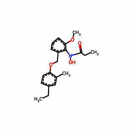 CCC(=O)N(O)c1c(COc2ccc(CC)cc2C)cccc1OC